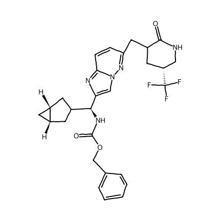 O=C(N[C@H](c1cn2nc(CC3C[C@@H](C(F)(F)F)CNC3=O)ccc2n1)C1C[C@@H]2C[C@@H]2C1)OCc1ccccc1